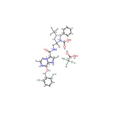 Cc1cn2c(C(=O)NCC(C)(CC[Si](C)(C)C)N(Cc3ccccc3)C(=O)O)c(C)nc2c(OCc2c(F)cccc2F)n1.O=C(O)C(F)(F)F